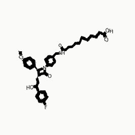 COc1ccc([C@@H]2[C@@H](CCC(O)c3ccc(F)cc3)C(=O)N2c2ccc(CNC(=O)CCCCCCCCCCC(=O)O)cc2)cc1